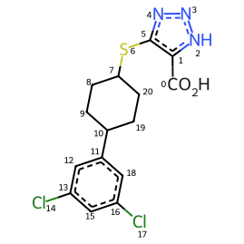 O=C(O)c1[nH]nnc1SC1CCC(c2cc(Cl)cc(Cl)c2)CC1